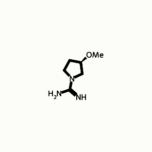 CO[C@@H]1CCN(C(=N)N)C1